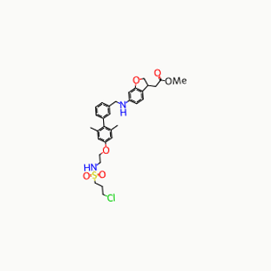 COC(=O)CC1COc2cc(NCc3cccc(-c4c(C)cc(OCCNS(=O)(=O)CCCCl)cc4C)c3)ccc21